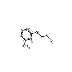 Cc1ccnc(SCC[O])n1